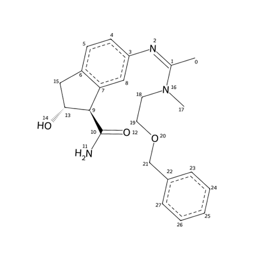 CC(=Nc1ccc2c(c1)[C@@H](C(N)=O)[C@H](O)C2)N(C)CCOCc1ccccc1